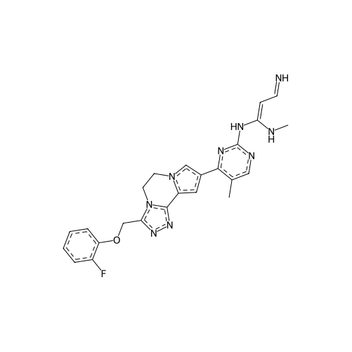 CN/C(=C\C=N)Nc1ncc(C)c(-c2cc3n(c2)CCn2c(COc4ccccc4F)nnc2-3)n1